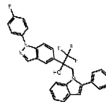 OC(Cn1c(-c2ccccc2)cc2ccccc21)(c1ccc2c(cnn2-c2ccc(F)cc2)c1)C(F)(F)F